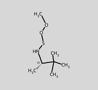 COOSN[C@@H](C)C(C)(C)C